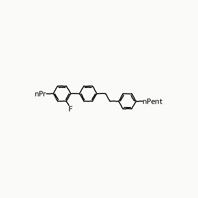 CCCCCc1ccc(CCc2ccc(-c3ccc(CCC)cc3F)cc2)cc1